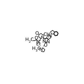 C=CC(=O)N(CC)CC1CC(=O)CC(C)N1c1nc(OC[C@@H]2CCCN2C)nc2c1CN(C1CCc3ccccc31)C2